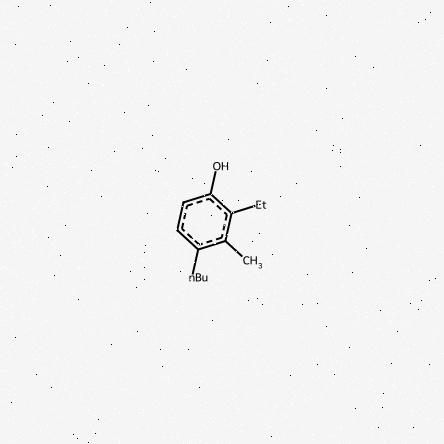 CCCCc1ccc(O)c(CC)c1C